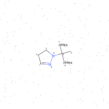 CCCCCCC(C)(CCCCCC)N1CCC=N1